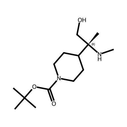 CN[C@@](C)(CO)C1CCN(C(=O)OC(C)(C)C)CC1